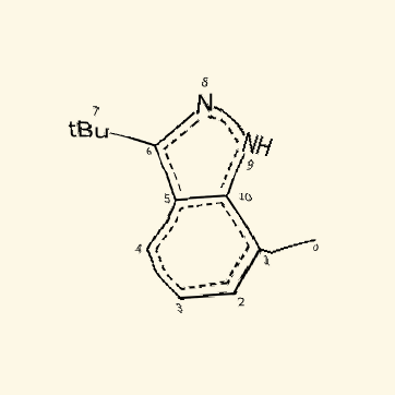 Cc1cccc2c(C(C)(C)C)n[nH]c12